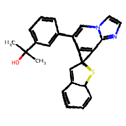 CC(C)(O)c1cccc(-c2cn3ccnc3c3c2C32C=C3C=CC=CC3S2)c1